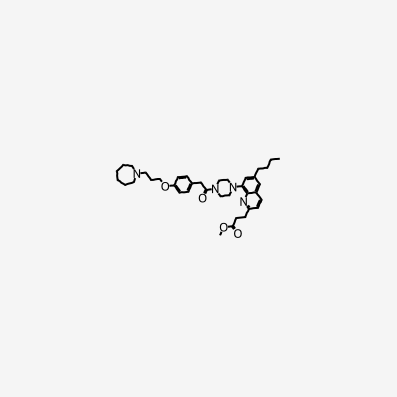 CCCCc1cc(N2CCN(C(=O)Cc3ccc(OCCCN4CCCCCC4)cc3)CC2)c2nc(CCC(=O)OC)ccc2c1